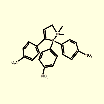 C[N+]1(C)CC=C(c2ccc([N+](=O)[O-])cc2)[B-]1(c1ccc([N+](=O)[O-])cc1)c1ccc([N+](=O)[O-])cc1